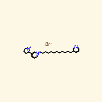 CN1CCCC1c1ccc[n+](CCCCCCCCCCCCc2cccnc2)c1.[Br-]